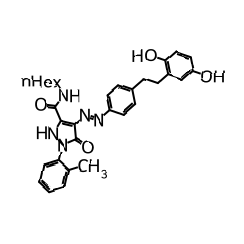 CCCCCCNC(=O)c1[nH]n(-c2ccccc2C)c(=O)c1N=Nc1ccc(CCc2cc(O)ccc2O)cc1